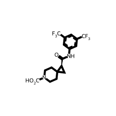 O=C(Nc1cc(C(F)(F)F)cc(C(F)(F)F)c1)[C@H]1CC12CCN(C(=O)O)CC2